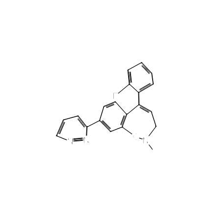 CN1CC=C(c2ccccc2F)c2ccc(-c3cccnn3)cc2C1